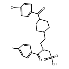 O=C(c1ccc(Cl)cc1)C1CCN(CCN(CS(=O)(=O)O)C(=O)c2ccc(F)cc2)CC1